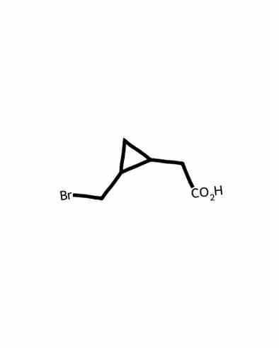 O=C(O)CC1CC1CBr